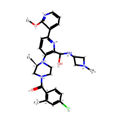 CCOc1ncccc1-c1ccc(N2CCN(C(=O)c3ccc(Cl)cc3C(F)(F)F)C[C@H]2CC)c(C(O)NC2CN(C)C2)n1